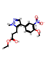 CCOC(=O)CCc1c(-c2ccc(OC)c([N+](=O)[O-])c2)cnn1C